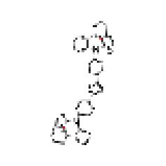 c1ccc(-c2ccccc2N(c2ccc(-c3ccc(-c4ccc(N(c5cccs5)c5ccccc5-c5ccccc5)cc4)s3)cc2)c2cccs2)cc1